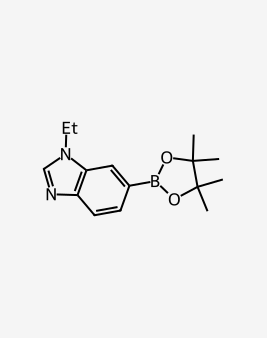 CCn1cnc2ccc(B3OC(C)(C)C(C)(C)O3)cc21